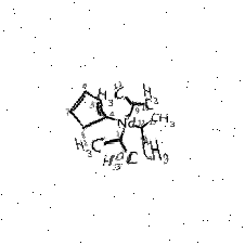 C[CH](C)[Nd]([C]1=CC=CC1)([CH](C)C)[CH](C)C